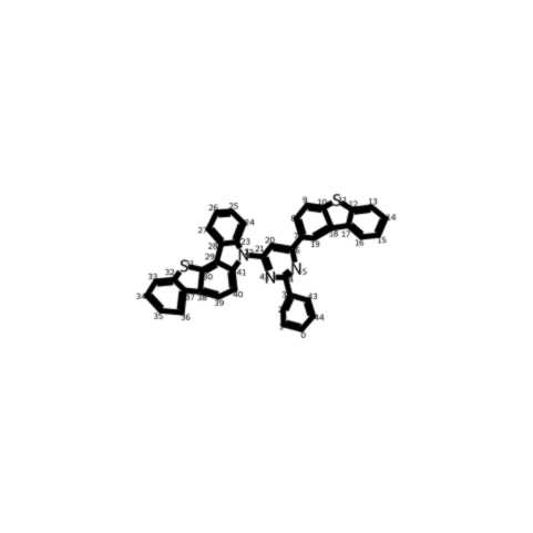 c1ccc(-c2nc(-c3ccc4sc5ccccc5c4c3)cc(-n3c4ccccc4c4c5sc6ccccc6c5ccc43)n2)cc1